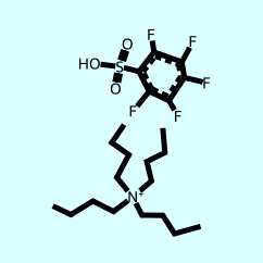 CCCC[N+](CCCC)(CCCC)CCCC.O=S(=O)(O)c1c(F)c(F)c(F)c(F)c1F